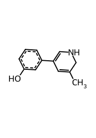 CC1=CC(c2cccc(O)c2)=CNC1